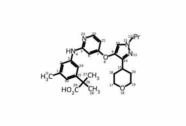 Cc1cc(Nc2cc(Oc3cn(C(C)C)nc3C3CCOCC3)ccn2)cc(C(C)(C)C(=O)O)c1